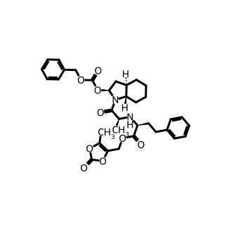 Cc1oc(=O)oc1COC(=O)[C@H](CCc1ccccc1)N[C@@H](C)C(=O)N1[C@@H](OC(=O)OCc2ccccc2)C[C@H]2CCCC[C@@H]21